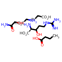 CC(C)CC(=O)O.CCCC(=O)O.N=C(N)NCCC(O)[C@H](N)C(=O)O.NC(=O)CO.NCC(=O)O